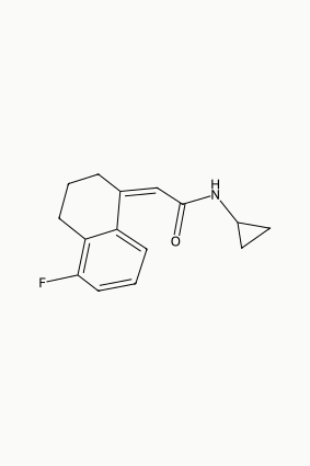 O=C(/C=C1/CCCc2c(F)cccc21)NC1CC1